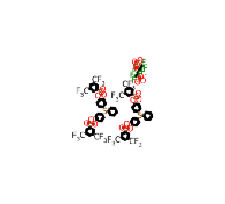 O=S(=O)(Oc1ccc([S+](c2ccccc2)c2ccc(OS(=O)(=O)c3cc(C(F)(F)F)cc(C(F)(F)F)c3)cc2)cc1)c1cc(C(F)(F)F)cc(C(F)(F)F)c1.O=S(=O)(Oc1ccc([S+](c2ccccc2)c2ccc(OS(=O)(=O)c3cc(C(F)(F)F)cc(C(F)(F)F)c3)cc2)cc1)c1cc(C(F)(F)F)cc(C(F)(F)F)c1.O=S(=O)([O-])C(F)(F)C(F)(F)C(F)(F)C(F)(F)S(=O)(=O)[O-]